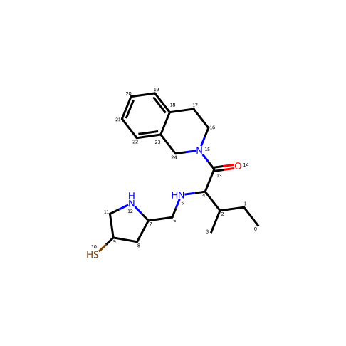 CCC(C)C(NCC1CC(S)CN1)C(=O)N1CCc2ccccc2C1